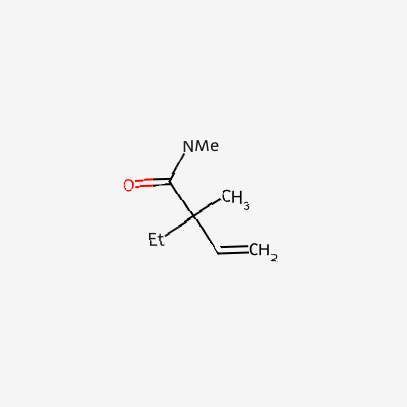 C=CC(C)(CC)C(=O)NC